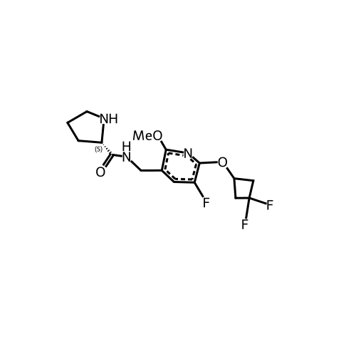 COc1nc(OC2CC(F)(F)C2)c(F)cc1CNC(=O)[C@@H]1CCCN1